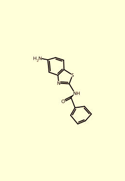 Nc1ccc2sc(NC(=O)c3ccccc3)nc2c1